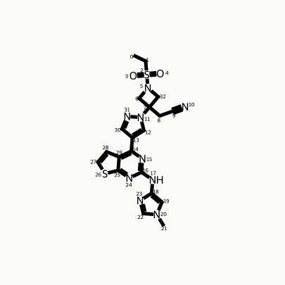 CCS(=O)(=O)N1CC(CC#N)(n2cc(-c3nc(Nc4cn(C)cn4)nc4sccc34)cn2)C1